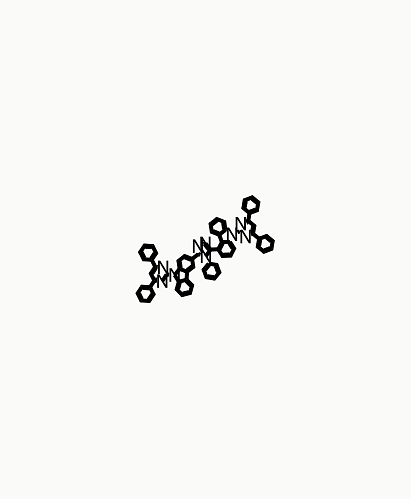 c1ccc(-c2cc(-c3ccccc3)nc(-n3c4ccccc4c4cc(-c5nnc(-c6cccc7c6c6ccccc6n7-c6nc(-c7ccccc7)cc(-c7ccccc7)n6)n5-c5ccccc5)ccc43)n2)cc1